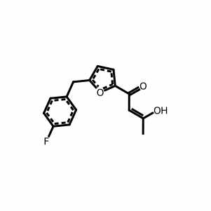 CC(O)=CC(=O)c1ccc(Cc2ccc(F)cc2)o1